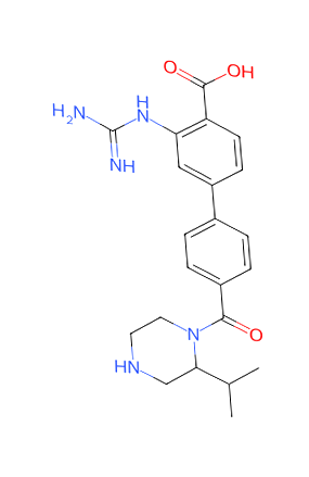 CC(C)C1CNCCN1C(=O)c1ccc(-c2ccc(C(=O)O)c(NC(=N)N)c2)cc1